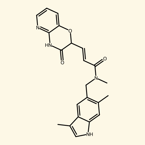 Cc1cc2[nH]cc(C)c2cc1CN(C)C(=O)C=CC1Oc2cccnc2NC1=O